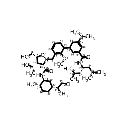 COC1=C(CN2O[C@@H](CO)[C@@H]([C@H](C)O)[C@H]2C(=O)N[C@H]2C[C@H](C(C)CCl)CC[C@@H]2C)C=CCC1C1C=C(C(=O)N[C@@H](CC(C)C)CN(C)C)C=C(N(C)C)C1